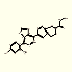 CC(C)(C)OC(=O)N1CCc2cc(-c3nnc(-c4ccc(F)cc4O)c4sccc34)ccc2C1